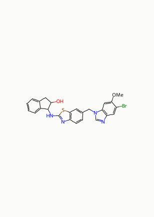 COc1cc2c(cc1Br)ncn2Cc1ccc2nc(NC3c4ccccc4CC3O)sc2c1